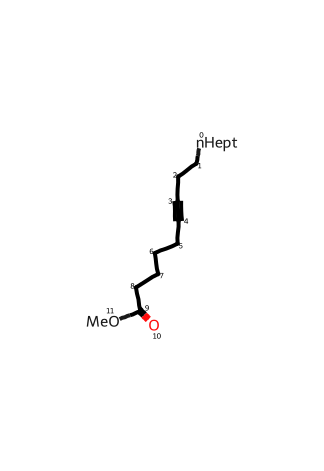 CCCCCCCCCC#CCCCCC(=O)OC